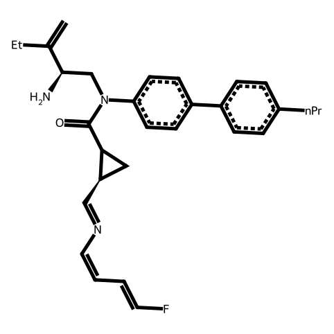 C=C(CC)[C@H](N)CN(C(=O)C1C[C@H]1/C=N/C=C\C=C\F)c1ccc(-c2ccc(CCC)cc2)cc1